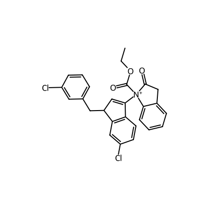 CCOC(=O)[N+]1(C2=CC(Cc3cccc(Cl)c3)c3cc(Cl)ccc32)C(=O)Cc2ccccc21